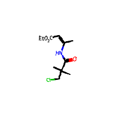 CCOC(=O)C=C(C)NC(=O)C(C)(C)CCl